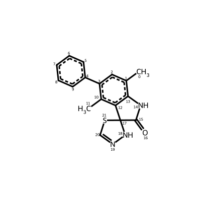 Cc1cc(-c2ccccc2)c(C)c2c1NC(=O)C21NN=CS1